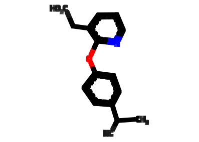 CC(C#N)c1ccc(Oc2ncccc2CC(=O)O)cc1